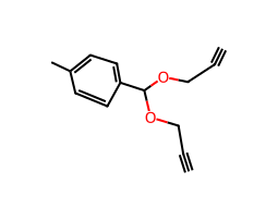 C#CCOC(OCC#C)c1ccc(C)cc1